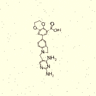 Nc1ncc(CN2CCc3cc(-c4cc5c(c(C(=O)O)c4)OCCO5)ccc32)c(N)n1